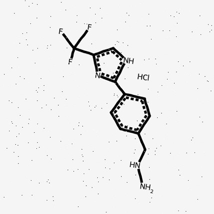 Cl.NNCc1ccc(-c2nc(C(F)(F)F)c[nH]2)cc1